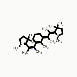 CC1=C(C(/C)=C(/C)C2=[N+](C)CCC2(C)C)CCC/C1=C(C)\C(C)=C1/N(C)CCC1(C)C